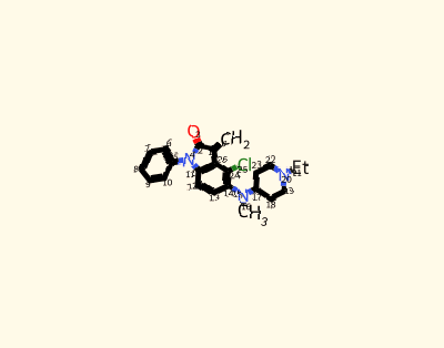 C=C1C(=O)N(c2ccccc2)c2ccc(N(C)C3CCN(CC)CC3)c(Cl)c21